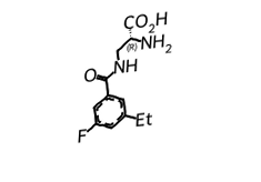 CCc1cc(F)cc(C(=O)NC[C@@H](N)C(=O)O)c1